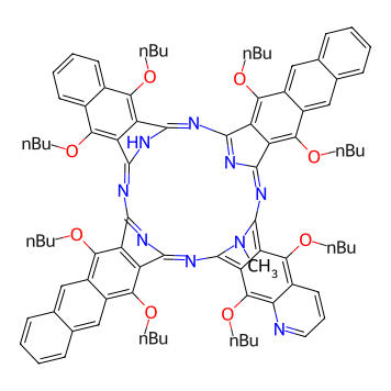 CCCCOc1c2c(c(OCCCC)c3cc4ccccc4cc13)-c1nc-2nc2[nH]c(nc3nc(nc4c5c(OCCCC)c6ncccc6c(OCCCC)c5c(n1)n4C)-c1c-3c(OCCCC)c3cc4ccccc4cc3c1OCCCC)c1c(OCCCC)c3ccccc3c(OCCCC)c21